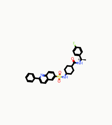 C[C@@H](NC(=O)C1CCC(NS(=O)(=O)c2ccc3nc(-c4ccccc4)ccc3c2)CC1)c1ccc(F)cc1